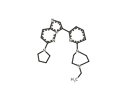 CCN1CCN(c2cccc(-c3cnc4ccc(N5CCCC5)nn34)n2)CC1